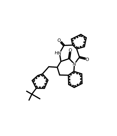 CC(C)(C)c1ccc(CC2Cc3ccccc3N3C(=O)c4ccccc4C(=O)NC2C3=O)cc1